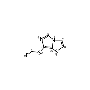 FCSc1ncn2ccsc12